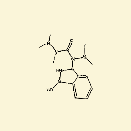 CN(C)N(C)C(=O)N(N(C)C)N1NN(O)c2ccccc21